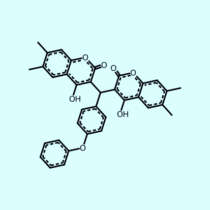 Cc1cc2oc(=O)c(C(c3ccc(Oc4ccccc4)cc3)c3c(O)c4cc(C)c(C)cc4oc3=O)c(O)c2cc1C